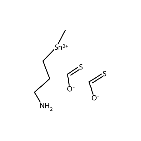 [CH3][Sn+2][CH2]CCN.[O-]C=S.[O-]C=S